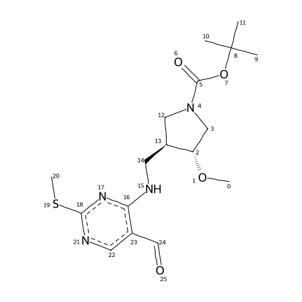 CO[C@H]1CN(C(=O)OC(C)(C)C)C[C@@H]1CNc1nc(SC)ncc1C=O